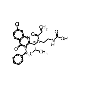 C=CC(=O)N(CCNC(=O)O)[C@@H](c1nc2cc(Cl)ccc2c(=O)n1Cc1ccccc1)C(C)C